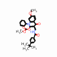 COC(=O)Oc1c(CNC(=O)c2ccc(C(C)(C)C)cc2)c(=O)c2ccc(OC)cc2n1-c1ccccc1